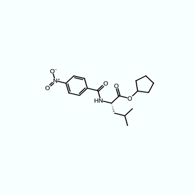 CC(C)C[C@H](NC(=O)c1ccc([N+](=O)[O-])cc1)C(=O)OC1CCCC1